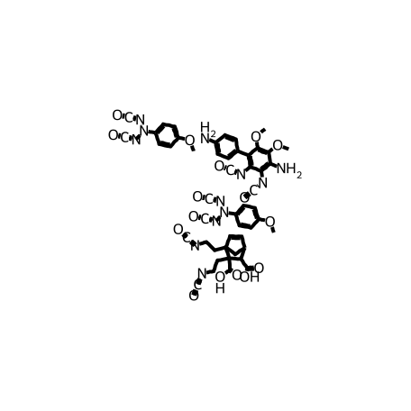 COc1c(N)c(N=C=O)c(N=C=O)c(-c2ccc(N)cc2)c1OC.COc1ccc(N(N=C=O)N=C=O)cc1.COc1ccc(N(N=C=O)N=C=O)cc1.O=C=NCCC12C=CC(C1)C(C(=O)O)C2(CCN=C=O)C(=O)O